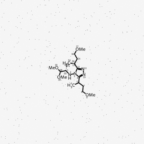 CC[C@H](Nn1c(C(C)CCOC)nnc1[C@@H](C)CCOC)C(OC)OC